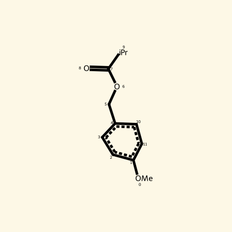 COc1ccc(COC(=O)C(C)C)cc1